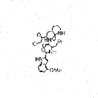 COc1cccc2[nH]c(C(=O)NC(CC(C)C)C(=O)NC(CC3CCCNC3=O)C(=O)CCl)cc12